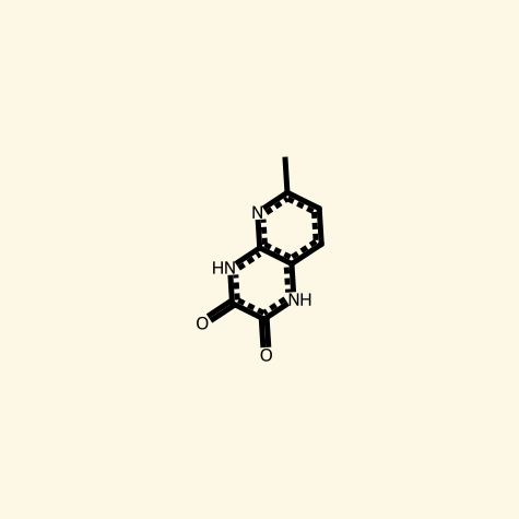 Cc1ccc2[nH]c(=O)c(=O)[nH]c2n1